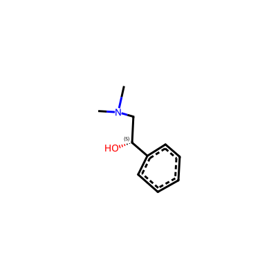 CN(C)C[C@@H](O)c1ccccc1